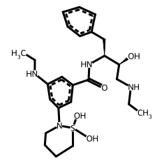 CCNC[C@H](O)[C@H](Cc1ccccc1)NC(=O)c1cc(NCC)cc(N2CCCCS2(O)O)c1